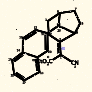 CCOC(=O)/C(C#N)=C1\CCC2CCC1N2c1ccc2ccccc2c1